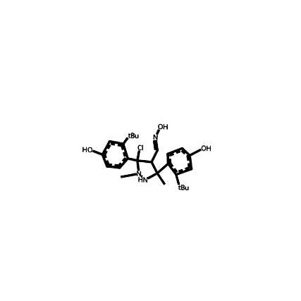 CN1NC(C)(c2ccc(O)cc2C(C)(C)C)C(C=NO)C1(Cl)c1ccc(O)cc1C(C)(C)C